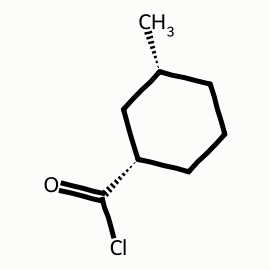 C[C@@H]1CCC[C@H](C(=O)Cl)C1